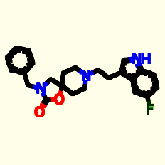 O=C1OC2(CCN(CCc3c[nH]c4ccc(F)cc34)CC2)CN1Cc1ccccc1